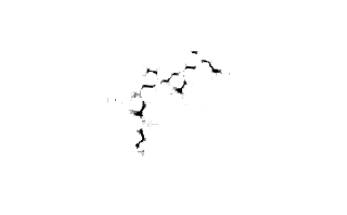 C=C(O)CN(CC)CCN(CCN(CCN(C)CC(=O)NCCCN)CC(C)=O)CC(C)=O